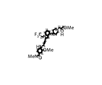 CNC(=O)c1ccc(NCC#Cc2cc3c(NC4CCN(C[C@@H](O)COC)CC4)cccc3n2CC(F)(F)F)c(OC)c1